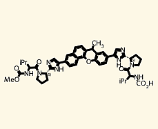 COC(=O)NC(C(=O)N1CCC[C@H]1c1ncc(-c2ccc3c4c(ccc3c2)C(C)c2cc(-c3cnc([C@@H]5CCCN5C(=O)C(NC(=O)O)C(C)C)[nH]3)ccc2O4)[nH]1)C(C)C